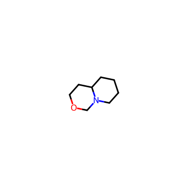 C1CCN2COCCC2C1